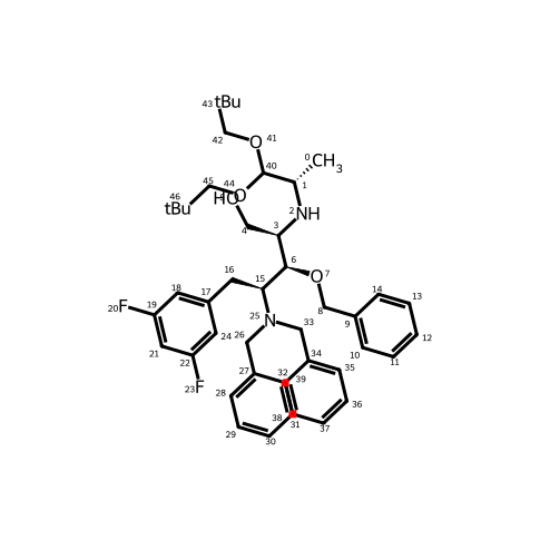 C[C@H](N[C@H](CO)[C@@H](OCc1ccccc1)[C@H](Cc1cc(F)cc(F)c1)N(Cc1ccccc1)Cc1ccccc1)C(OCC(C)(C)C)OCC(C)(C)C